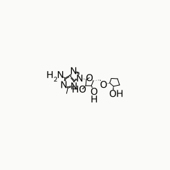 Cc1nc(N)c2ncn([C@@H]3O[C@H](CO[C@@H]4CCC[C@H]4O)[C@@H](O)[C@H]3O)c2n1